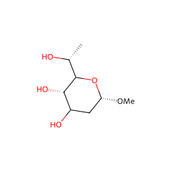 CO[C@@H]1CC(O)[C@H](O)C([C@@H](C)O)O1